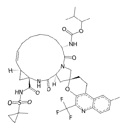 Cc1ccc2nc(C(F)(F)F)c3c(c2c1)CC[C@]1(C[C@H]2C(=O)N[C@]4(C(=O)NS(=O)(=O)C5(C)CC5)C[C@H]4/C=C\CCCCC[C@H](NC(=O)OC(C)C(C)C)C(=O)N2C1)O3